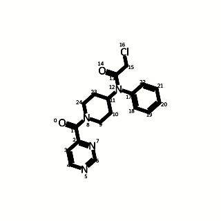 O=C(c1ccncn1)N1CCC(N(C(=O)CCl)c2ccccc2)CC1